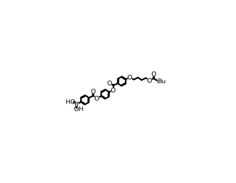 CCC(C)C(=O)OCCCCOc1ccc(C(=O)Oc2ccc(OC(=O)c3ccc(B(O)O)cc3)cc2)cc1